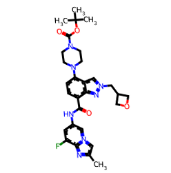 Cc1cn2cc(NC(=O)c3ccc(N4CCN(C(=O)OC(C)(C)C)CC4)c4cn(CC5COC5)nc34)cc(F)c2n1